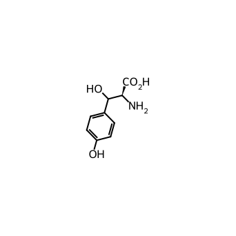 N[C@H](C(=O)O)C(O)c1ccc(O)cc1